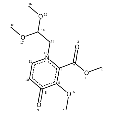 COC(=O)c1c(OC)c(=O)ccn1CC(OC)OC